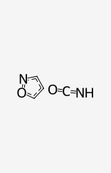 N=C=O.c1cnoc1